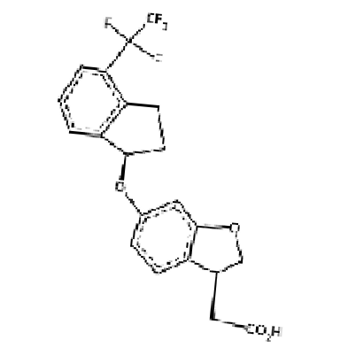 O=C(O)C[C@@H]1COc2cc(O[C@@H]3CCc4c3cccc4C(F)(F)C(F)(F)F)ccc21